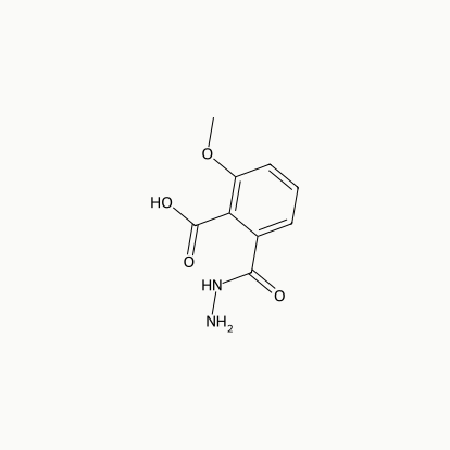 COc1cccc(C(=O)NN)c1C(=O)O